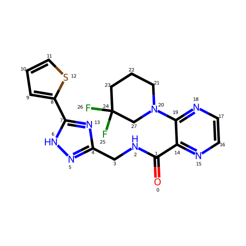 O=C(NCc1n[nH]c(-c2cccs2)n1)c1nccnc1N1CCCC(F)(F)C1